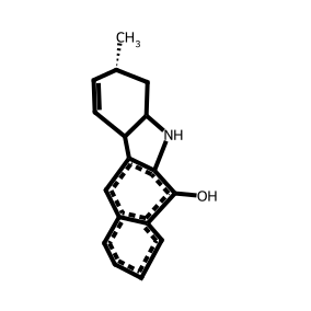 C[C@H]1C=CC2c3cc4ccccc4c(O)c3NC2C1